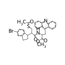 COC(=O)C(Cc1c2ccccc2nc2ccccc12)NC(=O)C(CSC(C)=O)C1CCc2cc(Br)ccc21